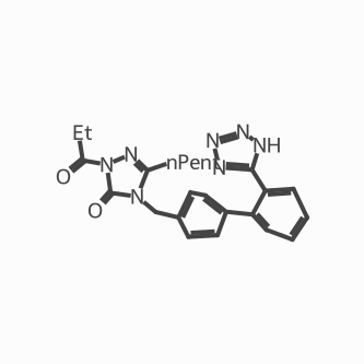 CCCCCc1nn(C(=O)CC)c(=O)n1Cc1ccc(-c2ccccc2-c2nnn[nH]2)cc1